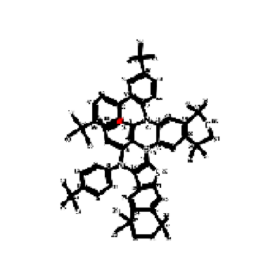 Cc1cc2c3c(c1)N(c1ccc(C(C)(C)C)cc1)c1c(sc4cc5c(cc14)C(C)(I)CCC5(C)C)B3c1cc3c(cc1N2c1ccc(C(C)(C)C)cc1-c1ccc(C(C)(C)C)cc1)C(C)(C)CCC3(C)C